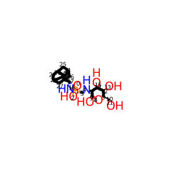 O=P(O)(CN[C@H]1C(O)O[C@H](CO)[C@H](O)[C@@H]1O)NCC12CC3CC(CC(C3)C1)C2